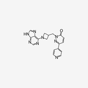 O=c1ccc(-c2ccncc2)nn1CC1CN(c2ncnc3[nH]cnc23)C1